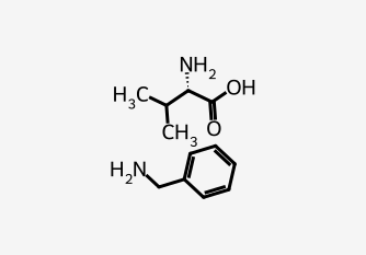 CC(C)[C@H](N)C(=O)O.NCc1ccccc1